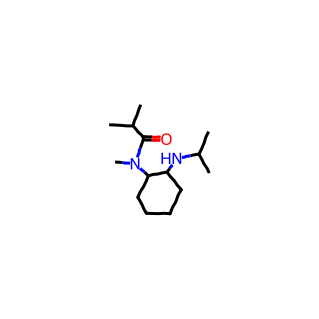 CC(C)NC1CCCCC1N(C)C(=O)C(C)C